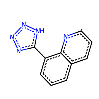 [c]1ccc2cccc(-c3nnn[nH]3)c2n1